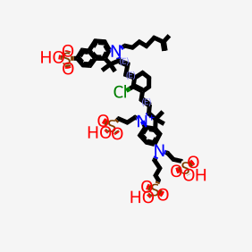 C=C(C)CCCCCN1/C(=C/C=C2\CCCC(/C=C/C3=[N+](CCCS(=O)(=O)O)c4ccc(N(CCCCS(=O)(=O)O)CCCS(=O)(=O)O)cc4C3(C)C)=C2Cl)C(C)(C)c2c1ccc1cc(S(=O)(=O)O)ccc21